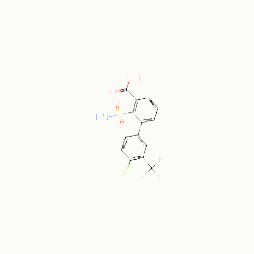 NS(=O)(=O)c1c(C(=O)O)cccc1-c1ccc(F)c(C(F)(F)F)c1